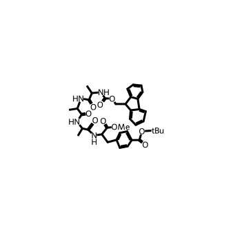 COC(=O)C(Cc1ccc(C(=O)OC(C)(C)C)cc1)NC(=O)C(C)NC(=O)C(C)NC(=O)C(C)NC(=O)OCC1c2ccccc2-c2ccccc21